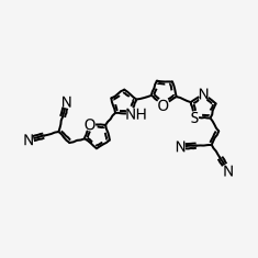 N#CC(C#N)=Cc1ccc(-c2ccc(-c3ccc(-c4ncc(C=C(C#N)C#N)s4)o3)[nH]2)o1